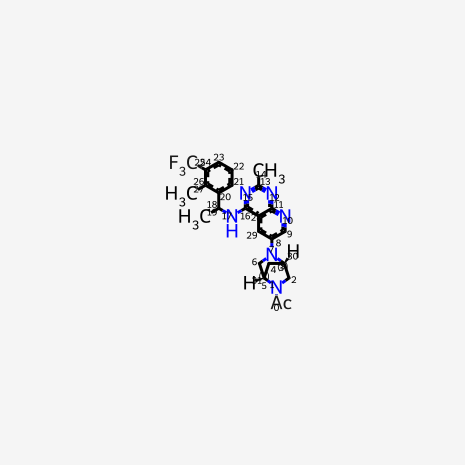 CC(=O)N1C[C@@H]2C[C@H]1CN2c1cnc2nc(C)nc(NC(C)c3cccc(C(F)(F)F)c3C)c2c1